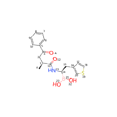 C[C@@H](CC(=O)c1ccccc1)C(=O)N[C@@H](Cc1ccsc1)B(O)O